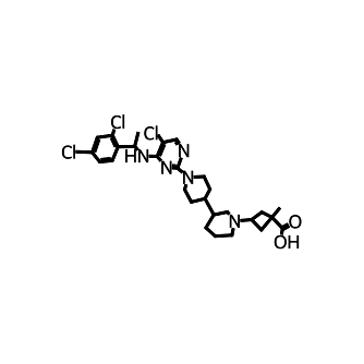 CC(Nc1nc(N2CCC(C3CCCN(C4CC(C)(C(=O)O)C4)C3)CC2)ncc1Cl)c1ccc(Cl)cc1Cl